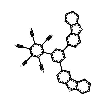 N#Cc1c(C#N)c(C#N)c(-c2cc(-c3ccc4oc5ccccc5c4c3)cc(-c3ccc4oc5ccccc5c4c3)c2)c(C#N)c1C#N